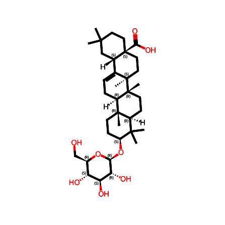 CC1(C)CC[C@]2(C(=O)O)CC[C@]3(C)C(=CC[C@@H]4[C@@]5(C)CC[C@H](O[C@@H]6O[C@H](CO)[C@@H](O)[C@H](O)[C@H]6O)C(C)(C)[C@@H]5CC[C@]43C)[C@@H]2C1